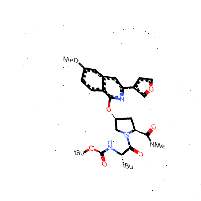 CNC(=O)[C@@H]1C[C@@H](Oc2nc(-c3ccoc3)cc3cc(OC)ccc23)CN1C(=O)[C@@H](NC(=O)OC(C)(C)C)C(C)(C)C